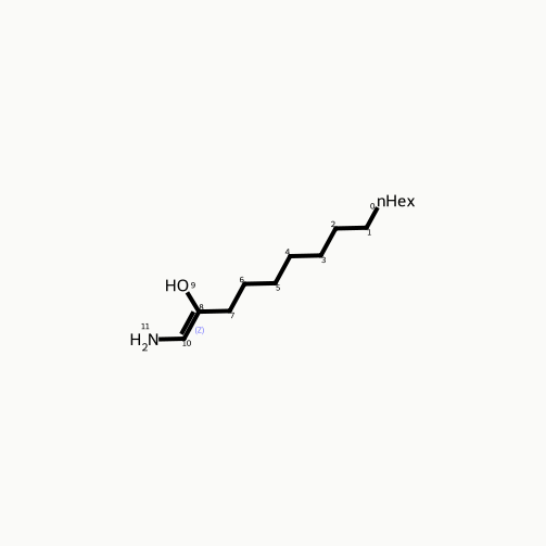 CCCCCCCCCCCCC/C(O)=C/N